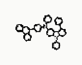 c1ccc(-c2cccc3c2c2cc(N(c4ccccc4)c4ccc(-c5cc6ccccc6c6ccccc56)cc4)ccc2n3-c2ccccc2)cc1